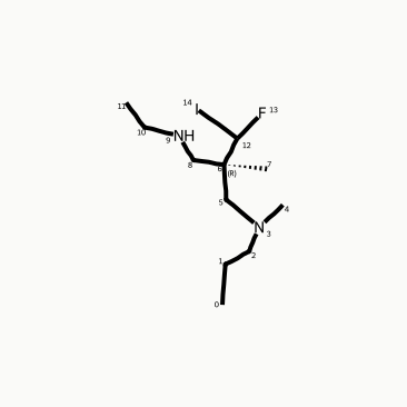 CCCN(C)C[C@@](C)(CNCC)C(F)I